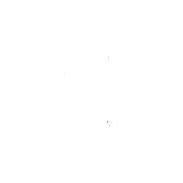 COC(=S)CC(C)C(F)(F)F